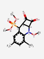 CCON1c2c(cc(C(F)(F)F)cc2[N+](=O)[O-])C(P(=O)(OCC)OCC)C2C(=O)C(=O)C21